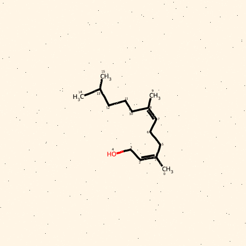 CC(=CCO)CCC=C(C)CCCC(C)C